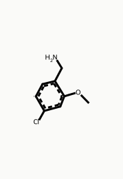 COc1cc(Cl)[c]cc1CN